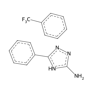 FC(F)(F)c1ccccc1.Nc1nnc(-c2ccccc2)[nH]1